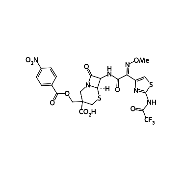 CON=C(C(=O)NC1C(=O)N2CC(COC(=O)c3ccc([N+](=O)[O-])cc3)(C(=O)O)CS[C@H]12)c1csc(NC(=O)C(F)(F)F)n1